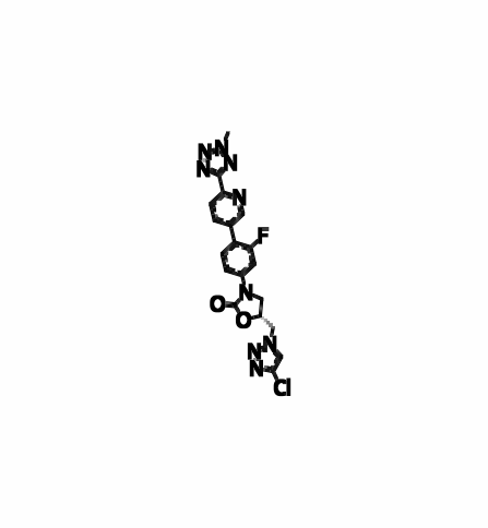 Cn1nnc(-c2ccc(-c3ccc(N4C[C@H](Cn5cc(Cl)nn5)OC4=O)cc3F)cn2)n1